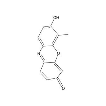 Cc1c(O)ccc2nc3ccc(=O)cc-3oc12